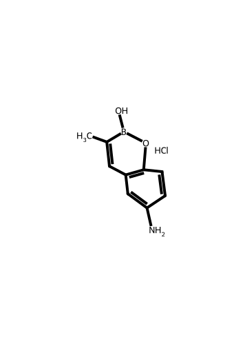 CC1=Cc2cc(N)ccc2OB1O.Cl